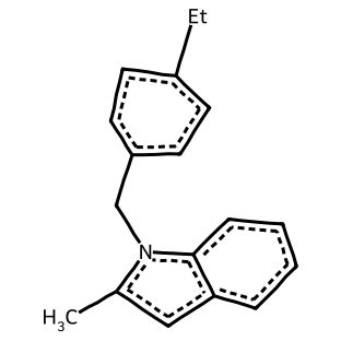 CCc1ccc(Cn2c(C)cc3ccccc32)cc1